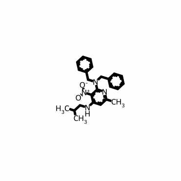 Cc1cc(NCC(C)C)c([N+](=O)[O-])c(N(Cc2ccccc2)Cc2ccccc2)n1